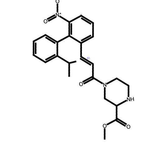 COC(=O)C1CN(C(=O)/C=C/c2cc[c]c([N+](=O)[O-])c2-c2ccccc2C(C)C)CCN1